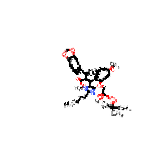 CCCCc1ncc(C(=C(C(=O)O)C(C)c2ccc3c(c2)OCO3)c2ccc(OC)cc2OCC(=O)OC(C)(C)C)n1C